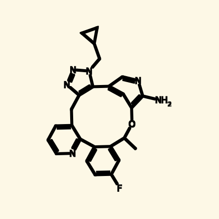 CC1Oc2cc(cnc2N)-c2c(nnn2CC2CC2)Cc2cccnc2-c2ccc(F)cc21